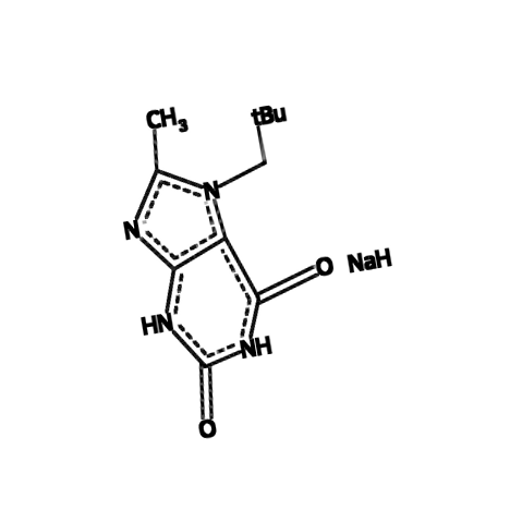 Cc1nc2[nH]c(=O)[nH]c(=O)c2n1CC(C)(C)C.[NaH]